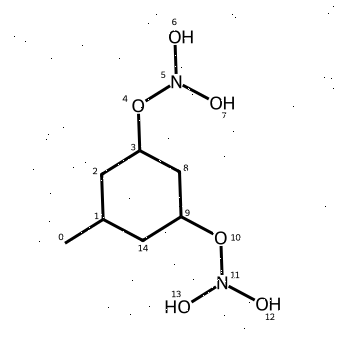 CC1CC(ON(O)O)CC(ON(O)O)C1